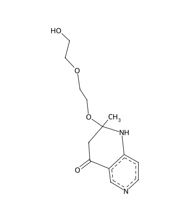 CC1(OCCOCCO)CC(=O)c2cnccc2N1